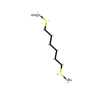 CCCCCCCSCCCCCCSCCCC